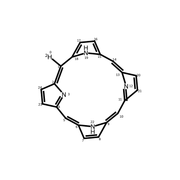 [2H]c1c2nc(cc3ccc(cc4nc(cc5ccc1[nH]5)C=C4)[nH]3)C=C2